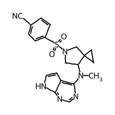 CN(c1ncnc2[nH]ccc12)C1CN(S(=O)(=O)c2ccc(C#N)cc2)CC12CC2